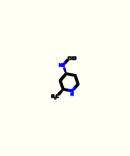 C[C@H]1C[C@H](NC=O)CCN1